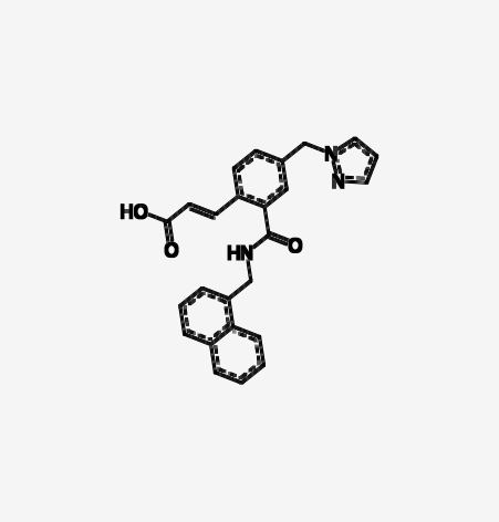 O=C(O)C=Cc1ccc(Cn2cccn2)cc1C(=O)NCc1cccc2ccccc12